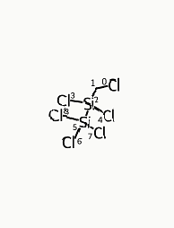 ClC[Si](Cl)(Cl)[Si](Cl)(Cl)Cl